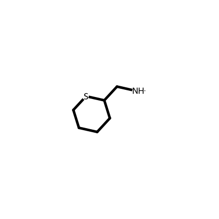 [NH]CC1CCCCS1